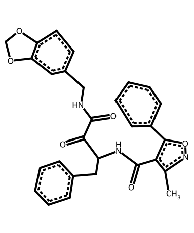 Cc1noc(-c2ccccc2)c1C(=O)NC(Cc1ccccc1)C(=O)C(=O)NCc1ccc2c(c1)OCO2